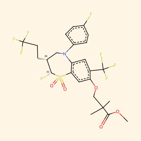 COC(=O)C(C)(C)COc1cc2c(cc1C(F)(F)F)N(c1ccc(F)cc1)C[C@@H](CCC(F)(F)F)[C@@H](F)S2(=O)=O